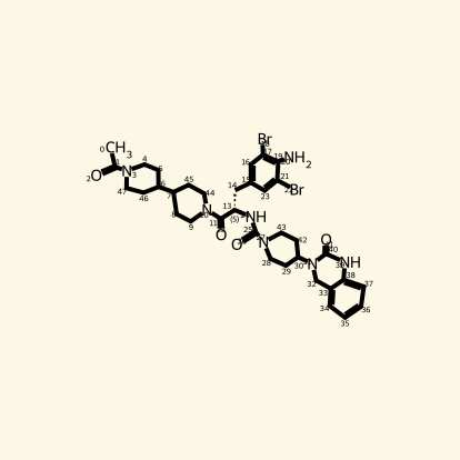 CC(=O)N1CCC(C2CCN(C(=O)[C@H](Cc3cc(Br)c(N)c(Br)c3)NC(=O)N3CCC(N4Cc5ccccc5NC4=O)CC3)CC2)CC1